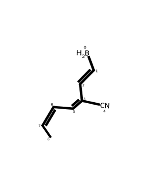 B/C=C/C(C#N)=C\C=C/C